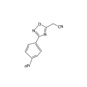 CCCc1ccc(-c2noc(CC#N)n2)cc1